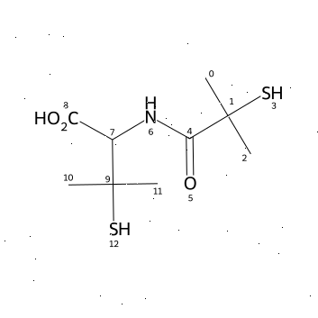 CC(C)(S)C(=O)NC(C(=O)O)C(C)(C)S